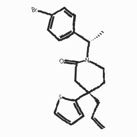 C=CC[C@]1(c2cccs2)CCN([C@@H](C)c2ccc(Br)cc2)C(=O)C1